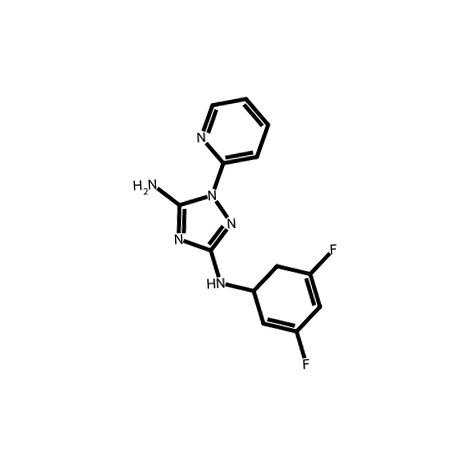 Nc1nc(NC2C=C(F)C=C(F)C2)nn1-c1ccccn1